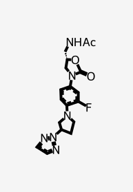 CC(=O)NC[C@H]1CN(c2ccc(N3CCC(n4nccn4)C3)c(F)c2)C(=O)O1